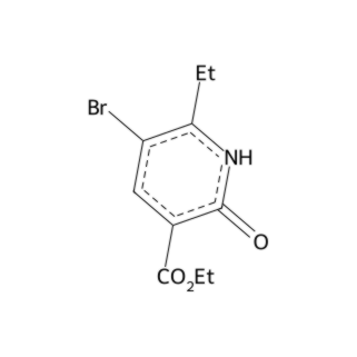 CCOC(=O)c1cc(Br)c(CC)[nH]c1=O